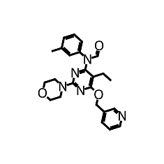 CCc1c(OCc2cccnc2)nc(N2CCOCC2)nc1N(C=O)c1cccc(C)c1